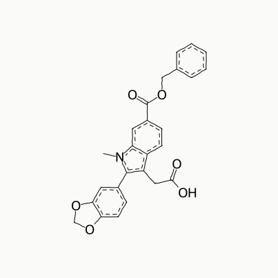 Cn1c(-c2ccc3c(c2)OCO3)c(CC(=O)O)c2ccc(C(=O)OCc3ccccc3)cc21